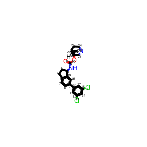 O=C(NC1CCc2ccc(-c3cc(Cl)cc(Cl)c3)cc21)O[C@H]1CN2CCC1CC2